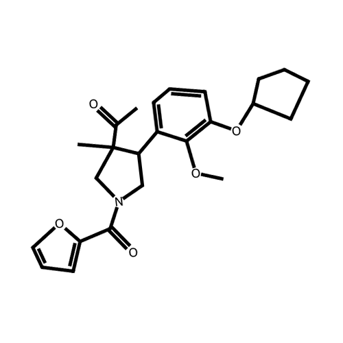 COc1c(OC2CCCC2)cccc1C1CN(C(=O)c2ccco2)CC1(C)C(C)=O